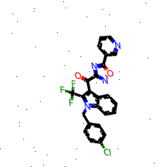 O=C(c1noc(-c2cccnc2)n1)c1c(C(F)(F)F)n(Cc2ccc(Cl)cc2)c2ccccc12